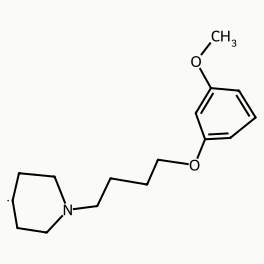 COc1cccc(OCCCCN2CC[CH]CC2)c1